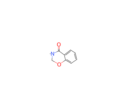 O=C1[N]COc2ccccc21